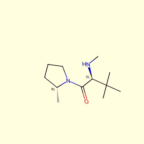 CN[C@H](C(=O)N1CCC[C@H]1C)C(C)(C)C